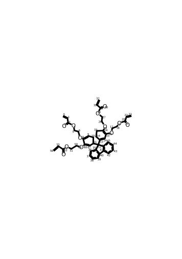 C=CC(=O)OCCOC1=CCC(C2(C3=CC(OCCOC(=O)C=C)=C(OCCOC(=O)C=C)CC3)c3ccccc3-c3ccccc32)C=C1OCCOC(=O)C=C